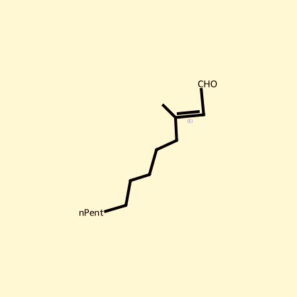 CCCCCCCCCC/C(C)=C/C=O